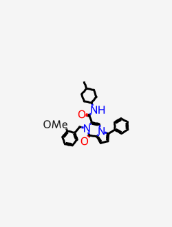 COc1ccccc1Cn1c(C(=O)NC2CCC(C)CC2)cn2c(-c3ccccc3)ccc2c1=O